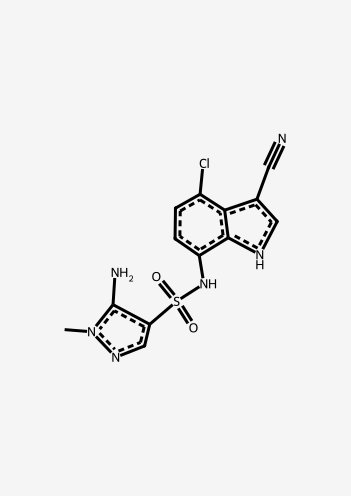 Cn1ncc(S(=O)(=O)Nc2ccc(Cl)c3c(C#N)c[nH]c23)c1N